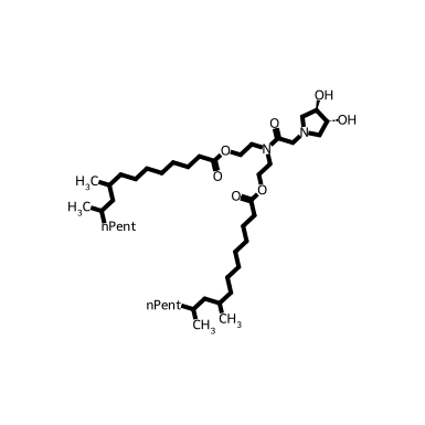 CCCCCC(C)CC(C)CCCCCCCC(=O)OCCN(CCOC(=O)CCCCCCCC(C)CC(C)CCCCC)C(=O)CN1C[C@@H](O)[C@H](O)C1